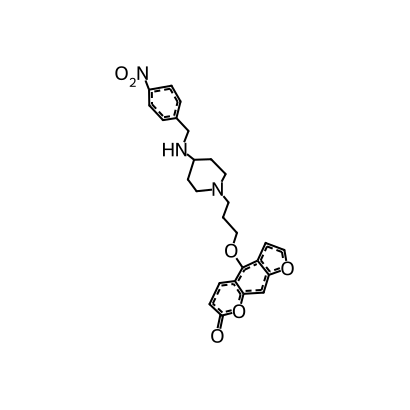 O=c1ccc2c(OCCCN3CCC(NCc4ccc([N+](=O)[O-])cc4)CC3)c3ccoc3cc2o1